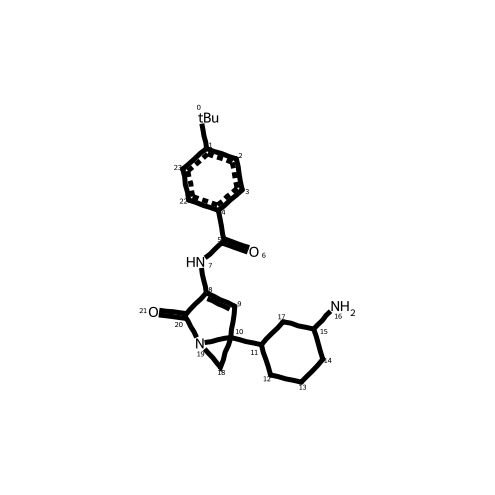 CC(C)(C)c1ccc(C(=O)NC2=CC3(C4CCCC(N)C4)CN3C2=O)cc1